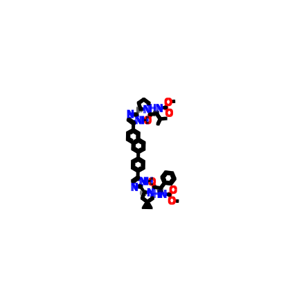 COC(=O)N[C@H](C(=O)N1CC2(CC2)C[C@H]1c1ncc(-c2ccc(-c3ccc4cc(-c5cnc([C@@H]6CCCN6C(=O)[C@@H](NC(=O)OC)C(C)C)[nH]5)ccc4c3)cc2)[nH]1)c1ccccc1